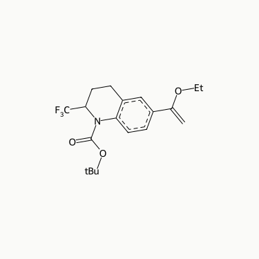 C=C(OCC)c1ccc2c(c1)CCC(C(F)(F)F)N2C(=O)OC(C)(C)C